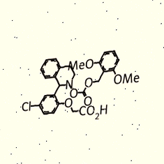 COc1cccc(OC)c1COC(=O)ON1CCc2ccccc2C1c1cc(Cl)ccc1OCC(=O)O